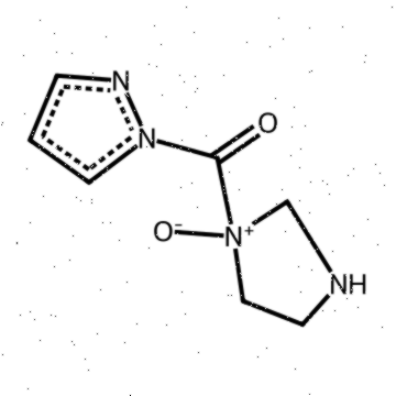 O=C(n1cccn1)[N+]1([O-])CCNC1